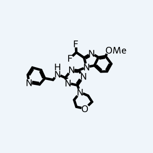 COc1cccc2c1nc(C(F)F)n2-c1nc(NCc2cccnc2)nc(N2CCOCC2)n1